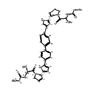 CC(C)(C)OC(=O)NC(C(=O)N1CCC[C@H]1c1nc(-c2ccc(-c3ccc(-c4cnc([C@@H]5C=CCN5C(=O)[C@@H](NC(=O)OC(C)(C)C)C(C)(C)C)[nH]4)cc3)cc2)c[nH]1)C(C)(C)C